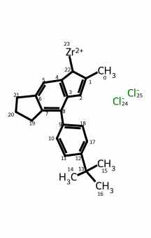 CC1=Cc2c(cc3c(c2-c2ccc(C(C)(C)C)cc2)CCC3)[CH]1[Zr+2].[Cl-].[Cl-]